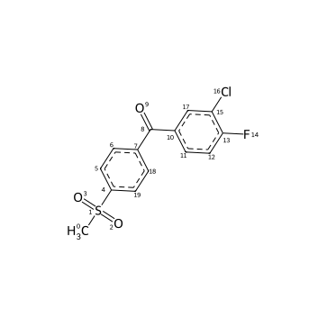 CS(=O)(=O)c1ccc(C(=O)c2ccc(F)c(Cl)c2)cc1